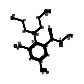 CCCNC(=O)c1cc([N+](=O)[O-])cc([N+](=O)[O-])c1N(CCO)CCBr